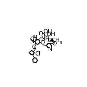 CS(=O)(=O)c1cncc(COc2cc(OCc3cccc(-c4ccccc4)c3Cl)c3nonc3c2CNC(CO)C(=O)O)c1